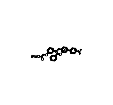 COC(=O)COc1cccc(N(CC23CCC(c4ccc(N(C)C)cc4)(CC2)CC3)C(=O)C2CCCCC2)c1